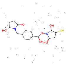 O=C1CC[C@@H](O)N1CC1CCC([C@H](O)ON2C(O)C(S)C[C@H]2O)CC1